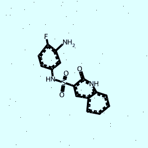 Nc1cc(NS(=O)(=O)c2cc3ccccc3[nH]c2=O)ccc1F